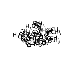 CC(C)(C)OC(=O)[C@@H](Cc1cccc(CCN(CCOc2cccc(C[C@H](C(=O)OC(C)(C)C)[C@H]3CCN(C(=O)OC(C)(C)C)C3)c2)C(=O)NCc2cccc(C[C@H](C(=O)OC(C)(C)C)[C@H]3CCN(C(=O)OC(C)(C)C)C3)c2)c1)[C@H]1CCN(C(=O)OC(C)(C)C)C1